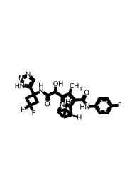 Cc1c(C(=O)Nc2ccc(F)cc2)c2n(c1C(O)C(=O)NC1(c3cnn[nH]3)CC(F)(F)C1)C1C3[C@H]1[C@H]23